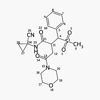 CS(=O)(=O)C(c1ccccc1)C(CC(=O)N1CCOCC1)C(=O)NC1(C#N)CC1